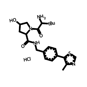 Cc1ncsc1-c1ccc(CNC(=O)C2CC(O)CN2C(=O)C(N)C(C)(C)C)cc1.Cl